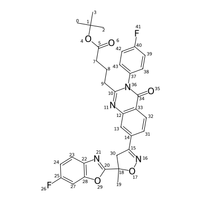 CC(C)(C)OC(=O)CCCc1nc2cc(C3=NOC(C)(c4nc5ccc(F)cc5o4)C3)ccc2c(=O)n1-c1ccc(F)cc1